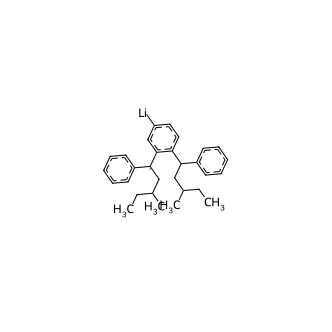 [Li][c]1ccc(C(CC(C)CC)c2ccccc2)c([C](CC(C)CC)c2ccccc2)c1